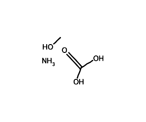 CO.N.O=C(O)O